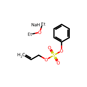 C=CCOS(=O)(=O)Oc1ccccc1.CCOCC.[NaH]